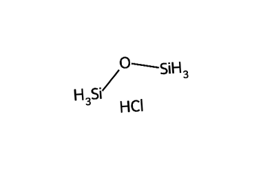 Cl.[SiH3]O[SiH3]